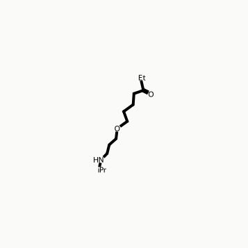 CCC(=O)CCCCOCCCNC(C)C